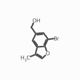 Cc1coc2c(Br)cc(CO)cc12